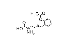 CC(=O)Oc1ccccc1CSCC[C@H](N)C(=O)O